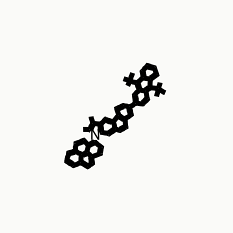 Cc1c(C)n(-c2ccc3ccc4cccc5ccc2c3c45)c2cc3ccc4cc(-c5ccc6c(C(C)(C)C)c7ccccc7c(C(C)(C)C)c6c5)ccc4c3cc12